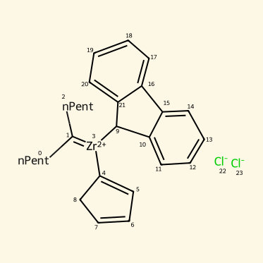 CCCCC[C](CCCCC)=[Zr+2]([C]1=CC=CC1)[CH]1c2ccccc2-c2ccccc21.[Cl-].[Cl-]